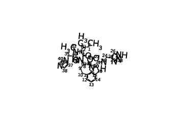 CC[C@H](C)[C@@H](C(=O)N[C@H]1CCc2cccc3c2N(C1=O)[C@H](C(=O)NCc1c[nH]nn1)C3)N(C)C(=O)Cn1ccnc1